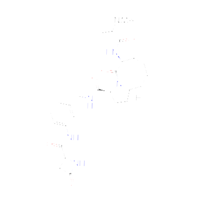 CNC(C)C(=O)N[C@H]1CCCC[C@H]2CC[C@@H](C(=O)NCc3cccc(NC(=O)C4CC(=O)N4)c3)N2C1=O